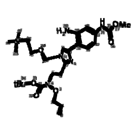 C=CCON(CCc1nc(-c2ccc(NC(=O)OC)cc2N)cn1COCC[Si](C)(C)C)C(=O)OC(C)(C)C